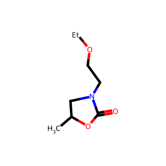 CCOCCN1CC(C)OC1=O